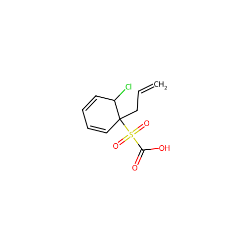 C=CCC1(S(=O)(=O)C(=O)O)C=CC=CC1Cl